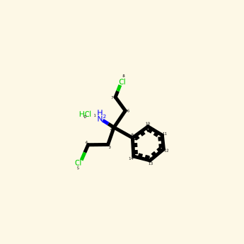 Cl.NC(CCCl)(CCCl)c1ccccc1